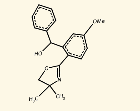 COc1ccc(C2=NC(C)(C)CO2)c(C(O)c2ccccc2)c1